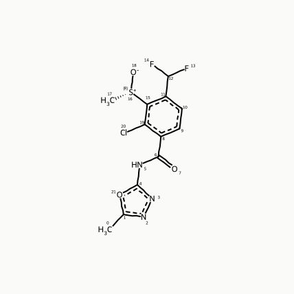 Cc1nnc(NC(=O)c2ccc(C(F)F)c([S@+](C)[O-])c2Cl)o1